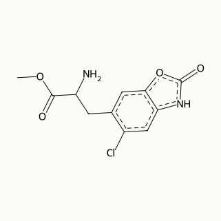 COC(=O)C(N)Cc1cc2oc(=O)[nH]c2cc1Cl